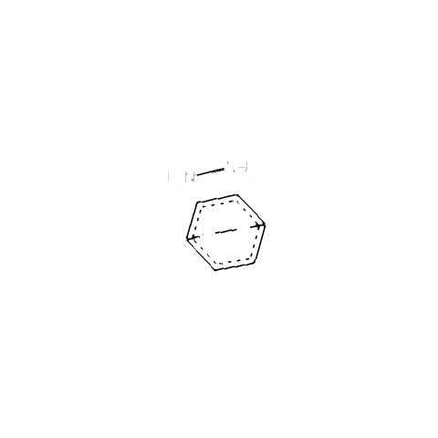 NN.c1cc2ccc1CO2